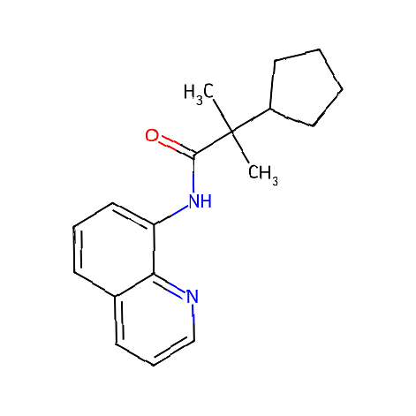 CC(C)(C(=O)Nc1cccc2cccnc12)C1CCCC1